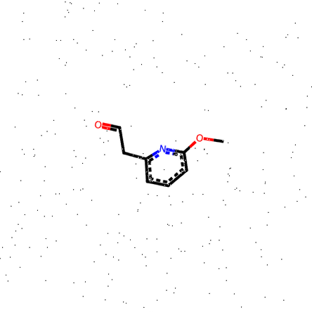 COc1cccc(CC=O)n1